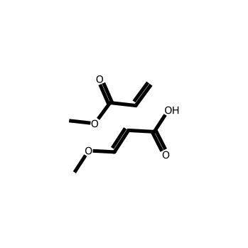 C=CC(=O)OC.COC=CC(=O)O